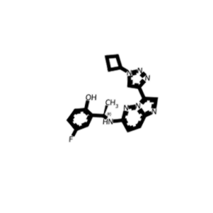 C[C@@H](Nc1ccc2ncc(-c3cn(C4CCC4)nn3)n2n1)c1cc(F)ccc1O